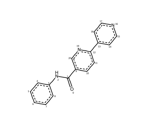 O=C(Nc1ccccc1)c1ccc(-c2ccncc2)nc1